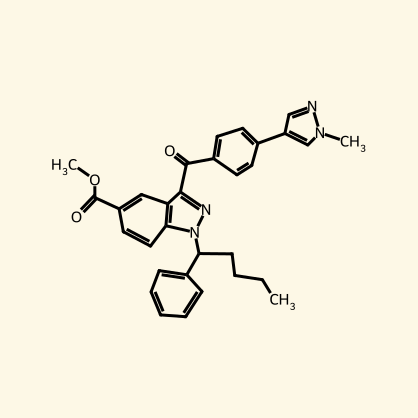 CCCCC(c1ccccc1)n1nc(C(=O)c2ccc(-c3cnn(C)c3)cc2)c2cc(C(=O)OC)ccc21